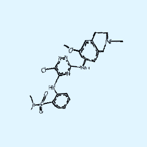 COc1cc2c(cc1Nc1nnc(Cl)c(Nc3ccccc3S(=O)(=O)N(C)C)n1)CN(C)CC2